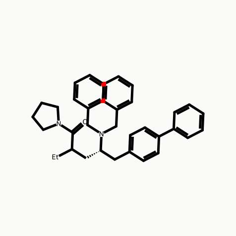 CCC(C[C@@H](Cc1ccc(-c2ccccc2)cc1)N(Cc1ccccc1)Cc1ccccc1)C(=O)N1CCCC1